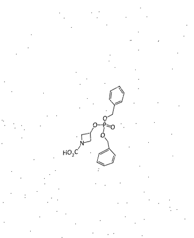 O=C(O)N1CC(OP(=O)(OCc2ccccc2)OCc2ccccc2)C1